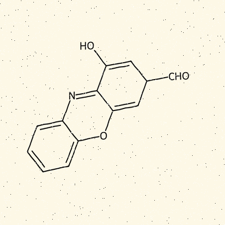 O=CC1C=C(O)C2=Nc3ccccc3OC2=C1